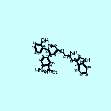 CCc1n[nH]c2ccc(-c3cc(OC[C@@H](N)Cc4c[nH]c5ccccc45)cnc3-c3ccccc3O)cc12